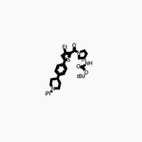 CCc1cc(-c2ccc(C3CCN(C(C)C)CC3)cc2)sc1C(=O)N1CC[C@H](NC(=O)OC(C)(C)C)C1